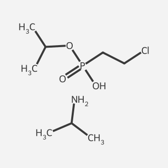 CC(C)N.CC(C)OP(=O)(O)CCCl